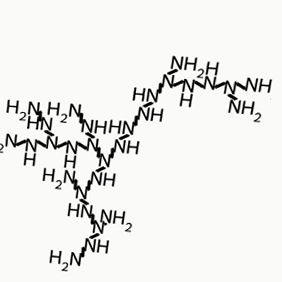 NCCNCCN(CN)CCNCCN(CCN)CCNCCN(CCNCCNCCNCCNCCN(CCN)CCNCCNCCN(CCN)CCN)CCN(CCNCCN)CCNCCN(CCNCCN)CCNCCN